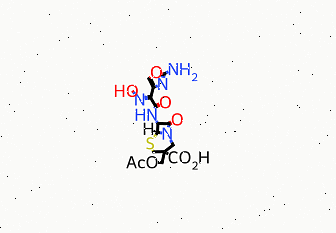 CC(=O)OCC1(C(=O)O)CS[C@@H]2C(NC(=O)C(=NO)c3coc(N)n3)C(=O)N2C1